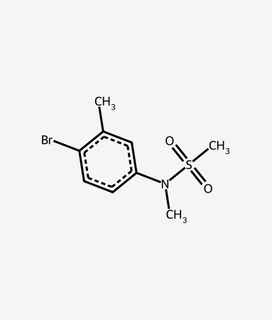 Cc1cc(N(C)S(C)(=O)=O)ccc1Br